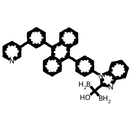 BC(B)(O)c1nc2ccccc2n1-c1ccc(-c2c3ccccc3c(-c3cccc(-c4cccnc4)c3)c3ccccc23)cc1